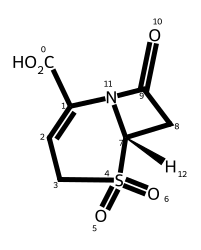 O=C(O)C1=CCS(=O)(=O)[C@H]2CC(=O)N12